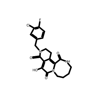 O=C1NCCCCn2c1c1c(c(O)c2=O)C(=O)N(Cc2ccc(F)c(Cl)c2)CC1